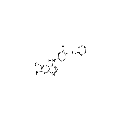 Fc1cc2ncnc(Nc3ccc(OCc4ccccc4)c(F)c3)c2cc1Cl